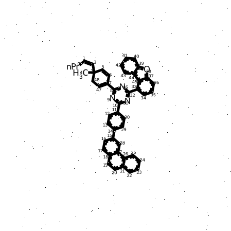 CCC/C=C\C1(C)C=CC(c2nc(-c3ccc(-c4ccc5ccc6ccccc6c5c4)cc3)nc(-c3cccc4oc5ccccc5c34)n2)=CC1